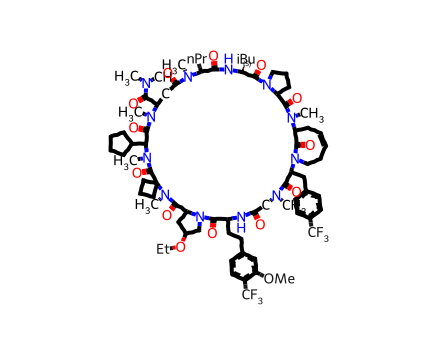 CCCC1C(=O)NC([C@@H](C)CC)C(=O)N2CCCC2C(=O)N(C)C2CC=CCCN(C2=O)C(Cc2ccc(C(F)(F)F)cc2)C(=O)N(C)CC(=O)NC(CCc2ccc(C(F)(F)F)c(OC)c2)C(=O)N2CC(OCC)CC2C(=O)N(C)C2(CCC2)C(=O)N(C)C(C2CCCC2)C(=O)N(C)C(C(=O)N(C)C)CC(=O)N1C